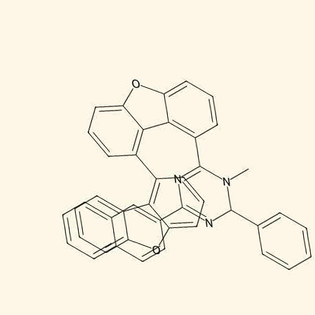 CN1C(c2cccc3oc4cccc(-c5cccc6oc7ccccc7c56)c4c23)=NC(c2ccc3ccccc3c2)=NC1c1ccccc1